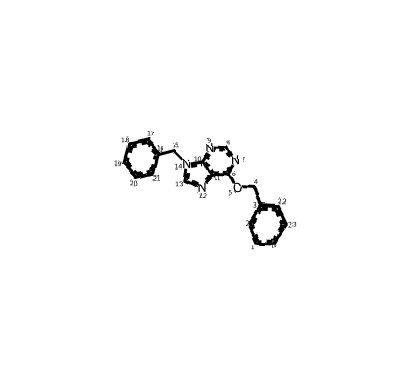 c1ccc(COc2ncnc3c2ncn3Cc2ccccc2)cc1